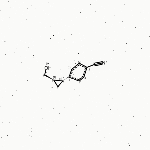 N#Cc1ccc([C@@H]2C[C@H]2CO)cc1